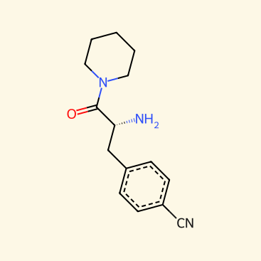 N#Cc1ccc(C[C@@H](N)C(=O)N2CCCCC2)cc1